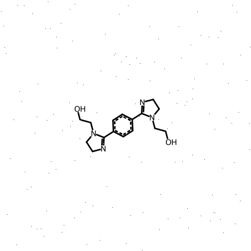 OCCN1CCN=C1c1ccc(C2=NCCN2CCO)cc1